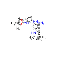 C[C@H](NCc1ccc(Nc2cccc(NC(=O)OC(C)(C)C)c2)c(N)c1)C(C)(C)C